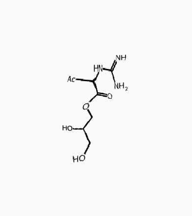 CC(=O)C(NC(=N)N)C(=O)OCC(O)CO